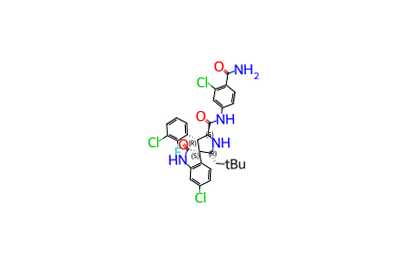 CC(C)(C)C[C@H]1N[C@H](C(=O)Nc2ccc(C(N)=O)c(Cl)c2)[C@@H](c2cccc(Cl)c2F)[C@@]12C(=O)Nc1cc(Cl)ccc12